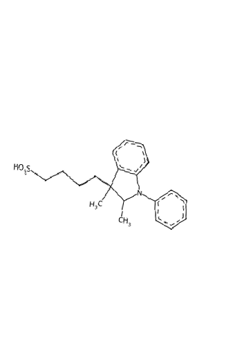 CC1N(c2ccccc2)c2ccccc2C1(C)CCCCS(=O)(=O)O